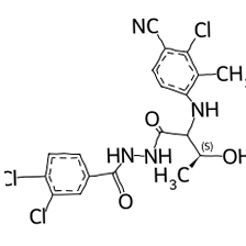 Cc1c(NC(C(=O)NNC(=O)c2ccc(Cl)c(Cl)c2)[C@H](C)O)ccc(C#N)c1Cl